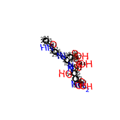 Nc1cc2c(O)c(N=Nc3ccc(N=Nc4ccc(NC(=O)c5ccccc5)cc4)c4ccc(S(=O)(=O)O)cc34)c(SOOO)cc2cc1S(=O)(=O)O